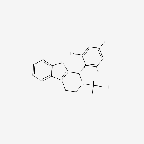 C[C@@H]1Cc2c([nH]c3ccccc23)[C@@H](c2c(F)cc(I)cc2F)N1C(C)(C)C=O